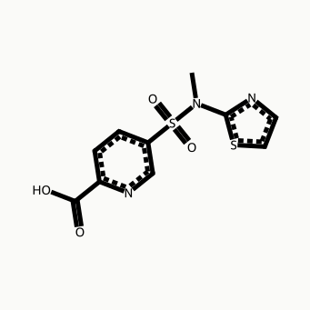 CN(c1nccs1)S(=O)(=O)c1ccc(C(=O)O)nc1